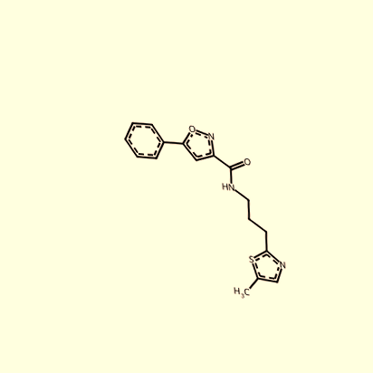 Cc1cnc(CCCNC(=O)c2cc(-c3ccccc3)on2)s1